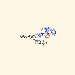 COc1cc(Cn2cc(NC(=O)c3nccnc3N)cn2)cc(C(=O)O)c1